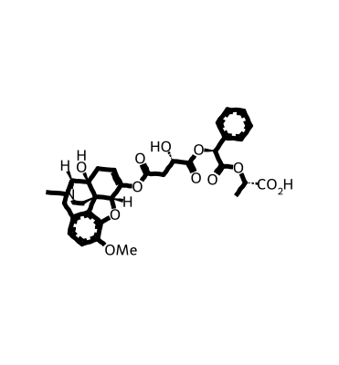 COc1ccc2c3c1O[C@H]1C(OC(=O)C[C@H](O)C(=O)O[C@H](C(=O)O[C@@H](C)C(=O)O)c4ccccc4)=CC[C@@]4(O)[C@@H](C2)N(C)CC[C@]314